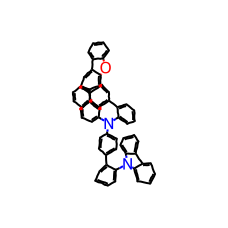 c1cc(-c2ccc3c(c2)oc2ccccc23)cc(N(c2ccc(-c3ccccc3-n3c4ccccc4c4ccccc43)cc2)c2ccccc2-c2ccc3ccccc3c2)c1